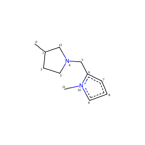 CC1CCN(Cc2cccn2C)C1